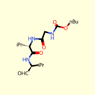 CCCCOC(=O)NCC(=O)N[C@H](C(=O)N[C@H](C=O)C(C)C)C(C)C